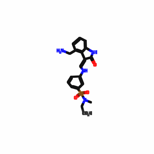 CN(CC(=O)O)S(=O)(=O)c1cccc(N/C=C2\C(=O)Nc3cccc(CN)c32)c1